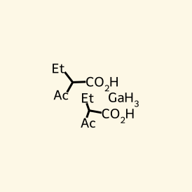 CCC(C(C)=O)C(=O)O.CCC(C(C)=O)C(=O)O.[GaH3]